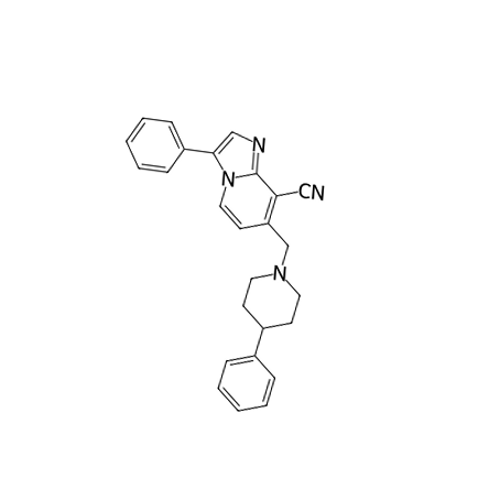 N#Cc1c(CN2CCC(c3ccccc3)CC2)ccn2c(-c3ccccc3)cnc12